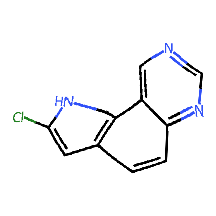 Clc1cc2ccc3ncncc3c2[nH]1